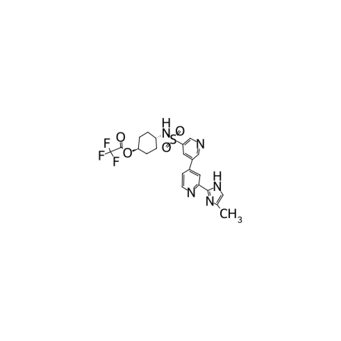 Cc1c[nH]c(-c2cc(-c3cncc(S(=O)(=O)N[C@H]4CC[C@H](OC(=O)C(F)(F)F)CC4)c3)ccn2)n1